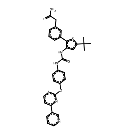 CC(C)(C)c1cc(NC(=O)Nc2ccc(Oc3nccc(-c4cccnc4)n3)cc2)c(-c2cccc(CC(N)=O)c2)s1